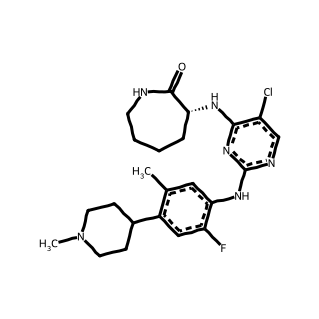 Cc1cc(Nc2ncc(Cl)c(N[C@@H]3CCCCNC3=O)n2)c(F)cc1C1CCN(C)CC1